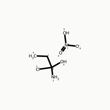 CCC(N)(O)Cl.O=[N+]([O-])O